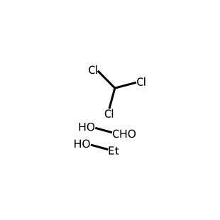 CCO.ClC(Cl)Cl.O=CO